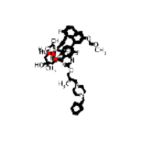 COCOc1cc(-c2ccc3c(N4CCCC(C)(O)C4)nc(OCC(C)CN4CCN(Cc5ccccc5)CC4)nc3c2F)c2c(C#C[Si](C(C)C)(C(C)C)C(C)C)c(F)ccc2c1